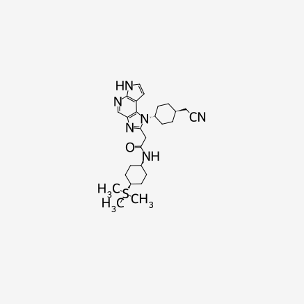 CS(C)(C)[C@H]1CC[C@@H](NC(=O)Cc2nc3cnc4[nH]ccc4c3n2[C@H]2CC[C@H](CC#N)CC2)CC1